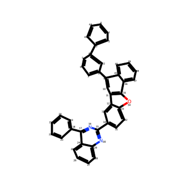 c1ccc(-c2cccc(-c3cc4c5cc(-c6nc(-c7ccccc7)c7ccccc7n6)ccc5oc4c4ccccc34)c2)cc1